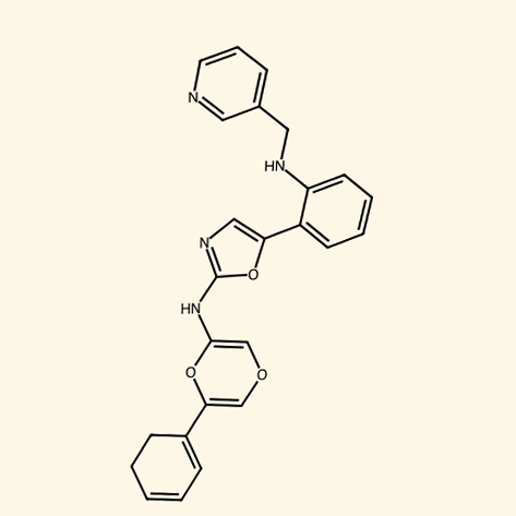 C1=CCCC(C2=COC=C(Nc3ncc(-c4ccccc4NCc4cccnc4)o3)O2)=C1